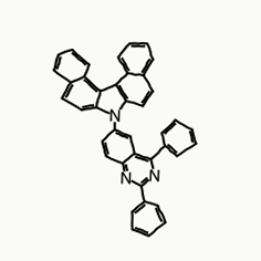 c1ccc(-c2nc(-c3ccccc3)c3cc(-n4c5ccc6ccccc6c5c5c6ccccc6ccc54)ccc3n2)cc1